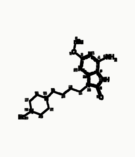 CCCCOc1nc(N)c2[nH]c(=O)n(CCCCN3CCN(CC)CC3)c2n1